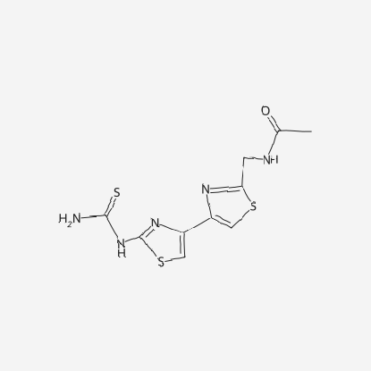 CC(=O)NCc1nc(-c2csc(NC(N)=S)n2)cs1